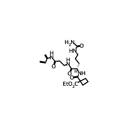 C=CC(=C)NC(=O)CCNC(=O)[C@H](CCCNC(N)=O)NC(=O)C1(C(=O)OCC)CCC1